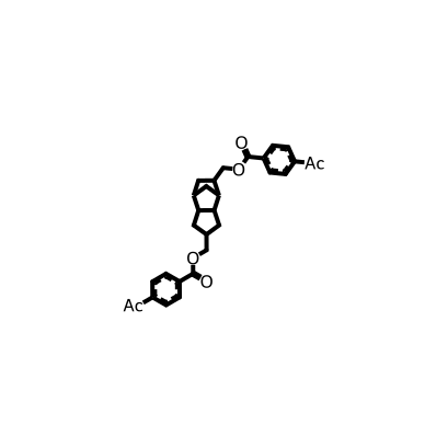 CC(=O)c1ccc(C(=O)OCC2CC3C4CC(COC(=O)c5ccc(C(C)=O)cc5)C(C4)C3C2)cc1